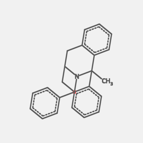 CC12c3ccccc3CC(Cc3ccccc31)N2Cc1ccccc1